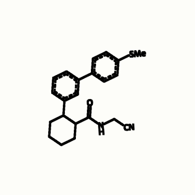 CSc1ccc(-c2cccc(C3CCCCC3C(=O)NCC#N)c2)cc1